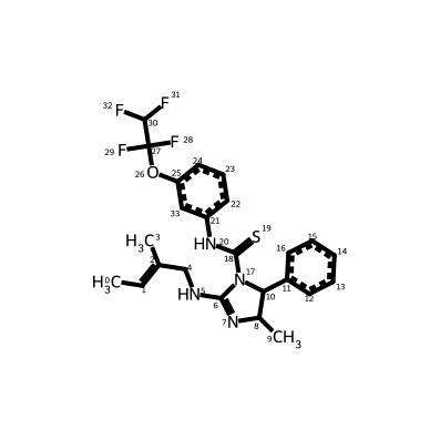 CC=C(C)CNC1=NC(C)C(c2ccccc2)N1C(=S)Nc1cccc(OC(F)(F)C(F)F)c1